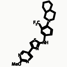 COc1ncc(-c2csc(Nc3ccc(N4CCC5CCCCC5C4)c(C(F)(F)F)c3)n2)cn1